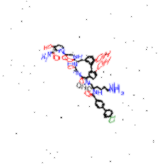 C[C@@H]1NC(=O)[C@@H](N(C)C[C@@](C=O)(CCCCN)NC(=O)c2ccc(-c3ccc(Cl)cc3)cc2)c2ccc(O)c(c2)-c2cc(ccc2O)C[C@@H](C(=O)N[C@@H](C)C(=O)N2CC[C@H](O)[C@H]2C(N)=O)NC1=O